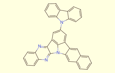 c1ccc2cc3c(cc2c1)c1cc(-n2c4ccccc4c4ccccc42)cc2c4nc5ccccc5nc4n3c12